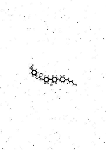 CCCCC[C@H]1CC[C@H](c2ccc(-c3ccc(OC(=O)Oc4ccc(OC)cc4)cc3)c(F)c2)CC1